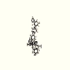 COc1cccc(N2CCN(c3ccc(S(=O)(=O)NC(Cc4ccccc4)C(=O)O)cc3)CC2)c1